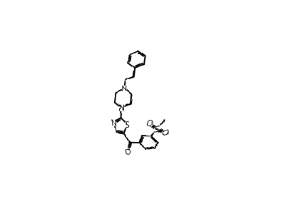 CS(=O)(=O)c1cccc(C(=O)c2cnc(N3CCN(CCc4ccccc4)CC3)s2)c1